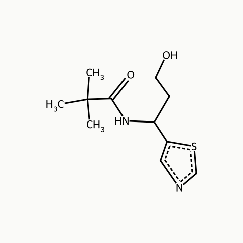 CC(C)(C)C(=O)NC(CCO)c1cncs1